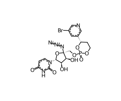 [N-]=[N+]=N[C@]1(COP2(=O)OCC[C@@H](c3cncc(Br)c3)O2)O[C@@H](n2ccc(=O)[nH]c2=O)[C@H](O)[C@@H]1O